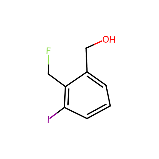 OCc1cccc(I)c1CF